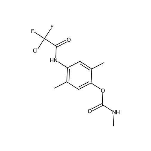 CNC(=O)Oc1cc(C)c(NC(=O)C(F)(F)Cl)cc1C